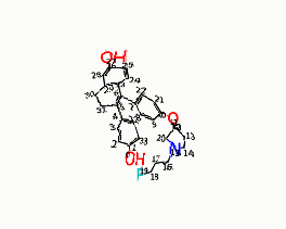 Oc1ccc(C2=C(c3ccc(O[C@H]4CCN(CCCF)C4)cc3)c3ccc(O)cc3CC2)cc1